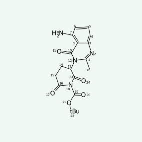 Cc1nc2cccc(N)c2c(=O)n1C1CCC(=O)N(C(=O)OC(C)(C)C)C1=O